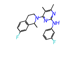 Cc1nc(Nc2cccc(F)c2)nc(N2CCc3ccc(F)cc3C2C)c1C